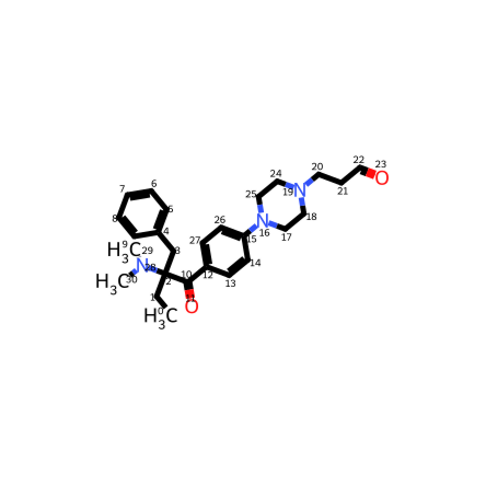 CCC(Cc1ccccc1)(C(=O)c1ccc(N2CCN(CCC=O)CC2)cc1)N(C)C